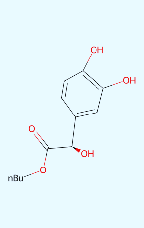 CCCCOC(=O)[C@H](O)c1ccc(O)c(O)c1